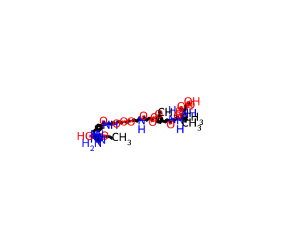 CCCCOc1nc(N)c2nc(O)n(Cc3ccc(C(=O)NCCCOCCOCCOCCCNC(=O)CCC(=O)Oc4ccc(/C=C/C(=O)NCC(=O)NC(C(=O)NC(CCC(=O)O)C(=O)O)C(C)C)cc4OC)cc3)c2n1